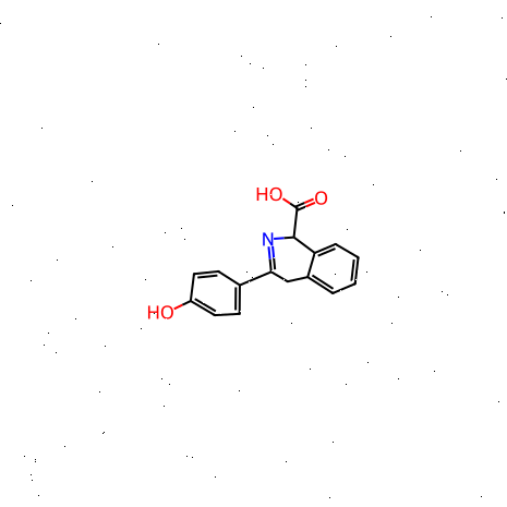 O=C(O)C1N=C(c2ccc(O)cc2)Cc2ccccc21